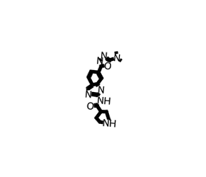 CN(C)c1nnc(-c2ccc3cnc(NC(=O)C4CCNCC4)nc3c2)o1